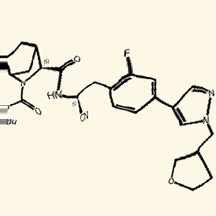 CC(C)(C)OC(=O)N1C2CCC(C2)[C@H]1C(=O)N[C@H](C#N)Cc1ccc(-c2cnn(CC3CCOC3)c2)cc1F